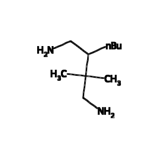 CCCCC(CN)C(C)(C)CN